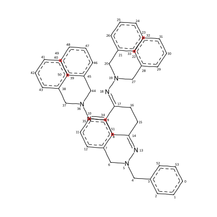 c1ccc(CN(Cc2ccccc2)N=C2CCC(=NN(Cc3ccccc3)Cc3ccccc3)C(=NN(Cc3ccccc3)Cc3ccccc3)C2)cc1